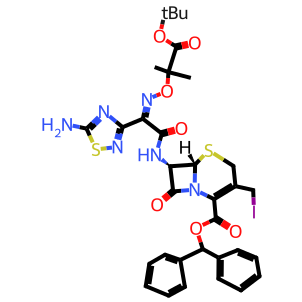 CC(C)(C)OC(=O)C(C)(C)O/N=C(\C(=O)N[C@@H]1C(=O)N2C(C(=O)OC(c3ccccc3)c3ccccc3)=C(CI)CS[C@@H]12)c1nsc(N)n1